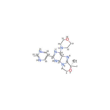 CC[C@]1(C)OCCn2c1nc1c(N3CCOCC3)nc(-c3cnc(C)nc3)nc12